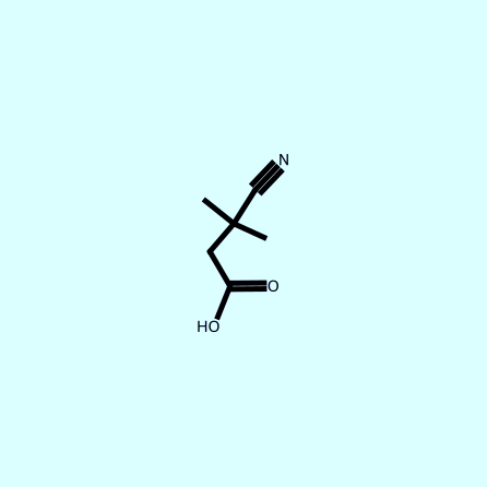 CC(C)(C#N)CC(=O)O